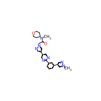 CN(C(=O)Cn1cc(-c2cnc(-c3cccc(-c4cnn(C)c4)c3)nc2)cn1)C1CCOCC1